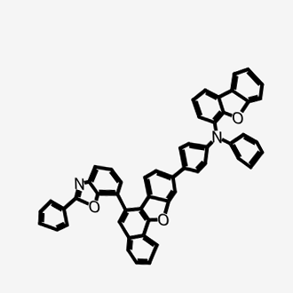 c1ccc(-c2nc3cccc(-c4cc5ccccc5c5oc6cc(-c7ccc(N(c8ccccc8)c8cccc9c8oc8ccccc89)cc7)ccc6c45)c3o2)cc1